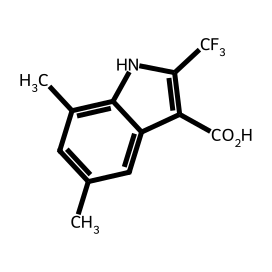 Cc1cc(C)c2[nH]c(C(F)(F)F)c(C(=O)O)c2c1